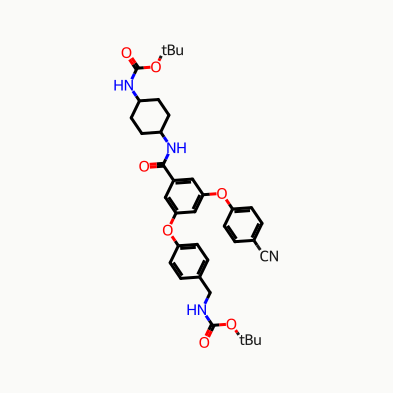 CC(C)(C)OC(=O)NCc1ccc(Oc2cc(Oc3ccc(C#N)cc3)cc(C(=O)NC3CCC(NC(=O)OC(C)(C)C)CC3)c2)cc1